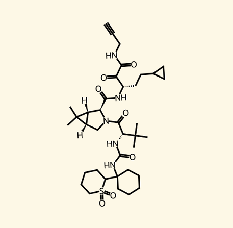 C#CCNC(=O)C(=O)[C@H](CCC1CC1)NC(=O)[C@@H]1[C@@H]2[C@H](CN1C(=O)[C@@H](NC(=O)NC1(C3CCCCS3(=O)=O)CCCCC1)C(C)(C)C)C2(C)C